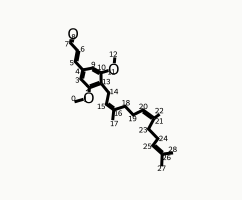 COc1cc(C=CC=O)cc(OC)c1CC=C(C)CCC=C(C)CCC=C(C)C